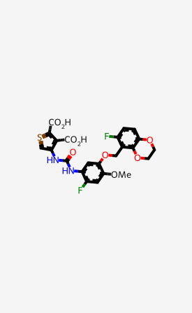 COc1cc(F)c(NC(=O)Nc2csc(C(=O)O)c2C(=O)O)cc1OCc1c(F)ccc2c1OCCO2